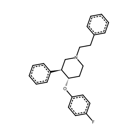 Fc1ccc(O[C@H]2CCN(CCc3ccccc3)C[C@@H]2c2ccccc2)cc1